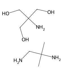 CC(C)(N)CN.NC(CO)(CO)CO